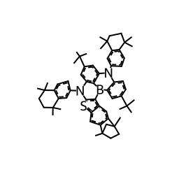 CC(C)(C)c1ccc2c(c1)B1c3c(cc(C(C)(C)C)cc3N(c3ccc4c(c3)C(C)(C)CCC4(C)C)c3sc4cc5c(cc4c31)C1(C)CCC5(C)C1)N2c1ccc2c(c1)C(C)(C)CCC2(C)C